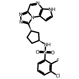 O=S(=O)(N[C@H]1CC[C@@H](c2nnc3cnc4[nH]ccc4n23)C1)c1cccc(Cl)c1F